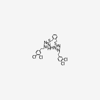 Clc1ccc(CCN2CN=C(SCc3ccccc3CSC3=NCN(CCc4ccc(Cl)c(Cl)c4)CN3)NC2)cc1Cl